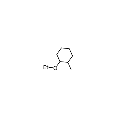 CCOC1CCC[CH]C1C